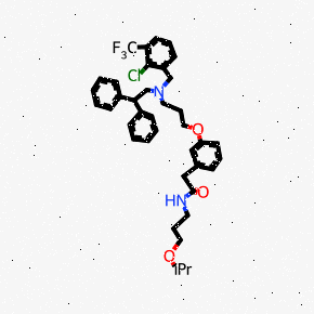 CC(C)OCCCNC(=O)Cc1cccc(OCCCN(Cc2cccc(C(F)(F)F)c2Cl)CC(c2ccccc2)c2ccccc2)c1